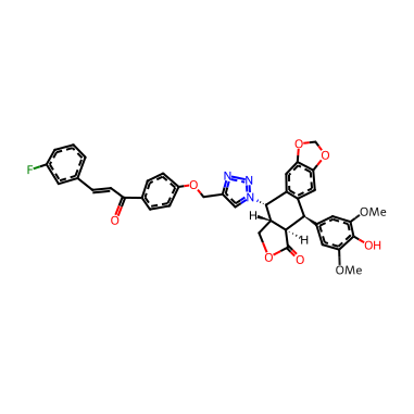 COc1cc([C@@H]2c3cc4c(cc3[C@@H](n3cc(COc5ccc(C(=O)/C=C/c6cccc(F)c6)cc5)nn3)[C@H]3COC(=O)[C@H]23)OCO4)cc(OC)c1O